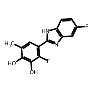 Cc1cc(-c2nc3cc(F)ccc3[nH]2)c(F)c(O)c1O